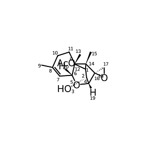 CC(=O)OC1[C@@H](O)[C@H]2O[C@@H]3C=C(C)CC[C@]3(C)[C@]1(C)[C@]21CO1